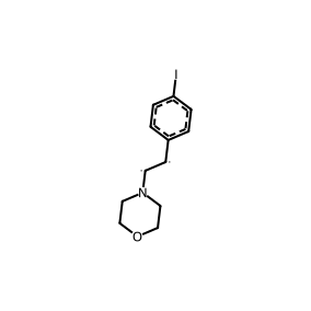 Ic1ccc([CH][CH]N2CCOCC2)cc1